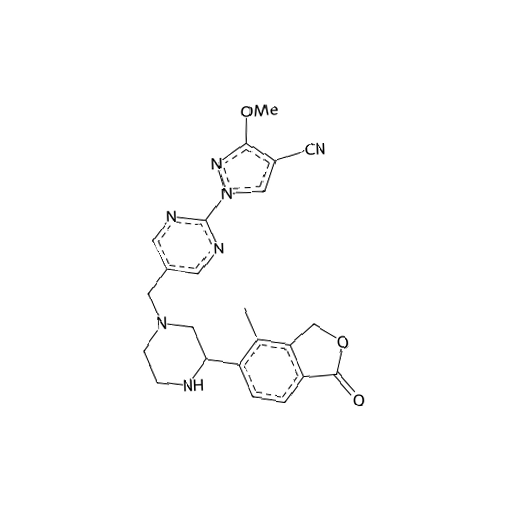 COc1nn(-c2ncc(CN3CCNC(c4ccc5c(c4C)COC5=O)C3)cn2)cc1C#N